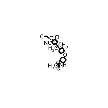 CC(C)(c1ccc(O[C@H]2CC[C@H](NS(C)(=O)=O)CC2)cc1)c1cc(Cl)c(OCCCl)c(C#N)c1